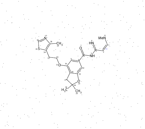 CN/C=C\C(=N)NC(=O)c1cc(OCCc2scnc2C)c2c(c1)OC(C)(C)C2